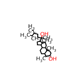 CC[C@@H](CC[C@](C)(O)C1CCC2C3CCC4[C@H](C)[C@@H](O)CC[C@]4(C)C3CC[C@@]21C)C(C)C